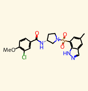 COc1ccc(C(=O)N[C@@H]2CCN(S(=O)(=O)c3cc(C)cc4cn[nH]c34)C2)cc1Cl